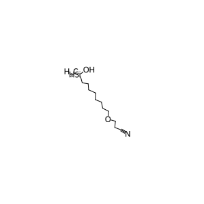 C[SiH](O)CCCCCCCCOCCC#N